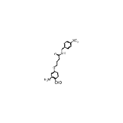 Nc1cc(OCCCC(=O)NCc2ccc([N+](=O)[O-])cc2)ccc1C=O